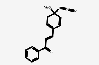 COC1(N=[N+]=[N-])C=CC(C=CC(=O)c2ccccc2)=CC1